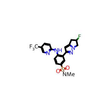 CNS(=O)(=O)c1ccc(Nc2ccc(C(F)(F)F)cn2)c(-c2cc3n(n2)CC(F)C3)c1